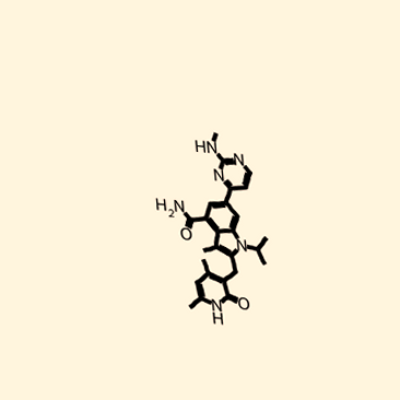 CNc1nccc(-c2cc(C(N)=O)c3c(C)c(Cc4c(C)cc(C)[nH]c4=O)n(C(C)C)c3c2)n1